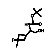 CC(C)(C)OC(=O)NC(CO)C1CC(F)(F)C1